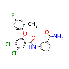 Cc1cc(F)ccc1Oc1cc(Cl)c(Cl)cc1C(=O)Nc1cccc(C(N)=O)c1